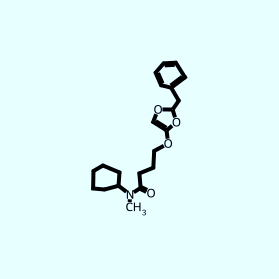 CN(C(=O)CCCOC1=COC(Cc2ccccc2)O1)C1CCCCC1